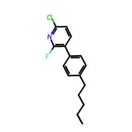 CCCCCc1ccc(-c2ccc(Cl)nc2F)cc1